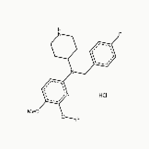 COc1ccc(N(Cc2ccc(F)cc2)C2CCNCC2)nc1OC(C)C.Cl